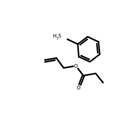 C=CCOC(=O)CC.Cc1ccccc1.S